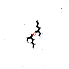 CCCCC(=COC=C(CC)CCCC)CC